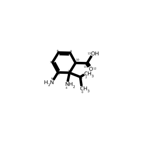 CC(C)C1(N)C(N)=CC=CC1C(=O)O